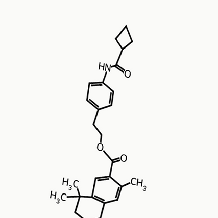 Cc1cc2c(cc1C(=O)OCCc1ccc(NC(=O)C3CCC3)cc1)C(C)(C)CCC2